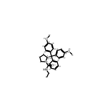 CCNC(=O)N1CCC[C@H]1C(c1ccccc1)(c1ccc(OC)cc1)c1ccc(OC)cc1